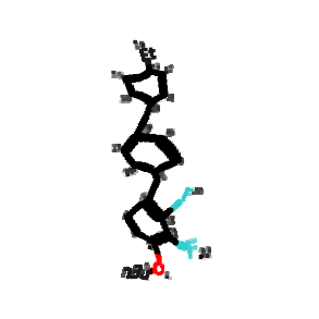 CCCCOc1ccc(-c2ccc(-c3ccc(CC)cc3)cc2)c(F)c1F